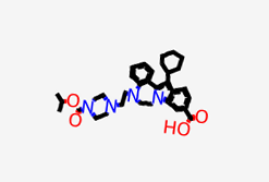 CC(C)OC(=O)N1CCN(CCN2CCn3c(c(C4CCCCC4)c4ccc(C(=O)O)cc43)-c3ccccc32)CC1